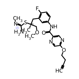 C#CCCOc1cnc(C(=O)Nc2ccc(F)c(C[C@](C)(COC)S/C(N)=N\C)c2)cn1